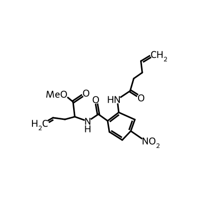 C=CCCC(=O)Nc1cc([N+](=O)[O-])ccc1C(=O)NC(CC=C)C(=O)OC